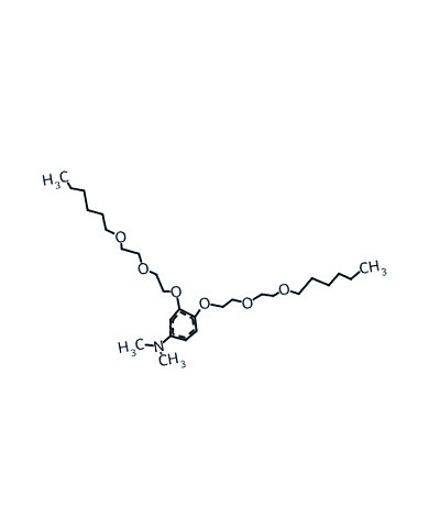 CCCCCCOCCOCCOc1ccc(N(C)C)cc1OCCOCCOCCCCCC